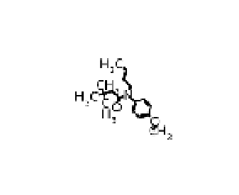 CCCCN(C(=O)CC(C)(C)C)c1ccc(OC)cc1